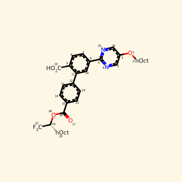 CCCCCCCCOc1cnc(-c2ccc(C(=O)O)c(-c3ccc(C(=O)O[C@H](CCCCCCCC)C(F)(F)F)cc3)c2)nc1